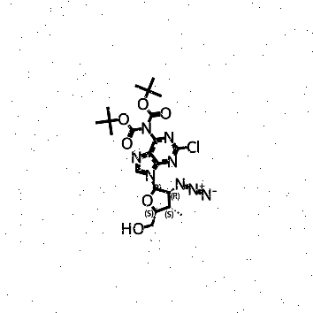 C[C@H]1[C@@H](N=[N+]=[N-])[C@H](n2cnc3c(N(C(=O)OC(C)(C)C)C(=O)OC(C)(C)C)nc(Cl)nc32)O[C@@H]1CO